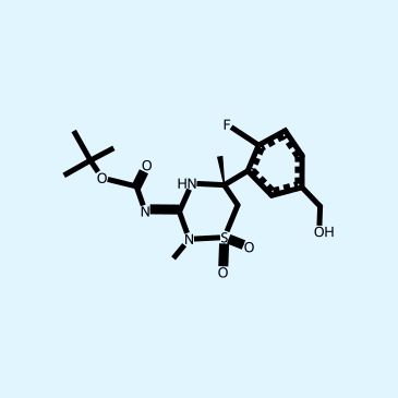 CN1/C(=N/C(=O)OC(C)(C)C)N[C@](C)(c2cc(CO)ccc2F)CS1(=O)=O